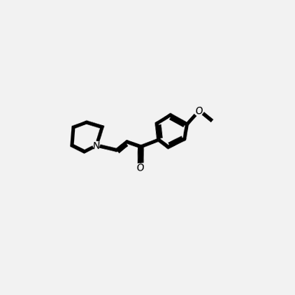 COc1ccc(C(=O)/C=C/N2CCCCC2)cc1